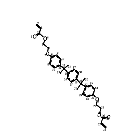 C=CC(=O)OCCOc1ccc(C(C)(C)c2ccc(C(C)(C)c3ccc(OCCOC(=O)C=C)cc3)cc2)cc1